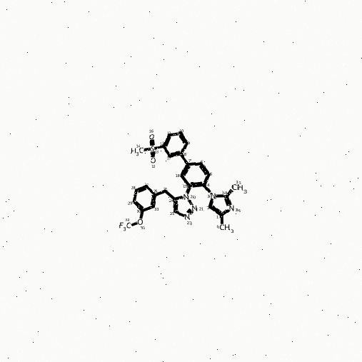 Cc1cn(-c2ccc(-c3cccc(S(C)(=O)=O)c3)cc2-n2nncc2Cc2cccc(OC(F)(F)F)c2)c(C)n1